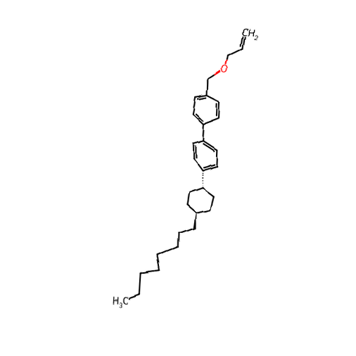 C=CCOCc1ccc(-c2ccc([C@H]3CC[C@H](CCCCCCCC)CC3)cc2)cc1